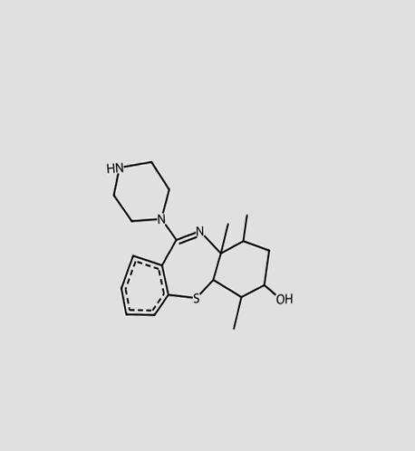 CC1C(O)CC(C)C2(C)N=C(N3CCNCC3)c3ccccc3SC12